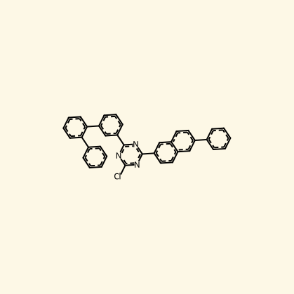 Clc1nc(-c2cccc(-c3ccccc3-c3ccccc3)c2)nc(-c2ccc3cc(-c4ccccc4)ccc3c2)n1